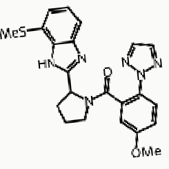 COc1ccc(-n2nccn2)c(C(=O)N2CCCC2c2nc3cccc(SC)c3[nH]2)c1